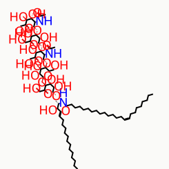 CCCCCCCC/C=C\CCCCCCCCCCCCCC(=O)N[C@@H](CO[C@@H]1OC(CO)[C@@H](O[C@@H]2OC(CO)[C@H](O[C@@H]3OC(CO)[C@H](O)[C@H](O[C@@H]4OC(CO)[C@H](O)[C@H](O[C@@H]5OC(CO)[C@@H](O)[C@H](O)C5NC(C)=O)C4O)C3NC(C)=O)[C@H](O)C2O)[C@H](O)C1O)[C@H](O)/C=C/CCCCCCCCCCCCC